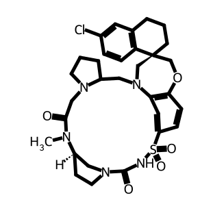 CN1C(=O)CN2CCCC2CN2C[C@@]3(CCCc4cc(Cl)ccc43)COc3ccc(cc32)S(=O)(=O)NC(=O)N2CC[C@@H]1C2